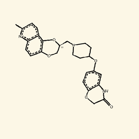 Cc1ccc2c3c(ccc2n1)OC[C@H](CN1CCC(Oc2ccc4c(c2)NC(=O)CO4)CC1)O3